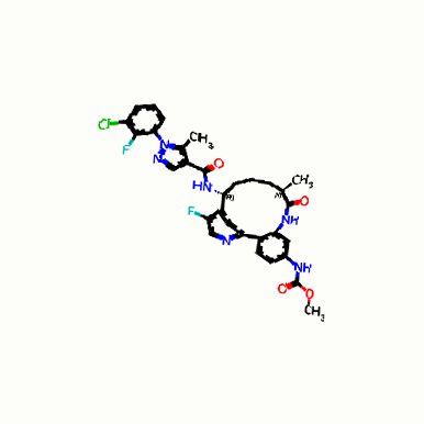 COC(=O)Nc1ccc2c(c1)NC(=O)[C@H](C)CCC[C@@H](NC(=O)c1cnn(-c3cccc(Cl)c3F)c1C)c1cc-2ncc1F